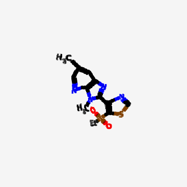 CCS(=O)(=O)c1scnc1-c1nc2cc(C)cnc2n1C